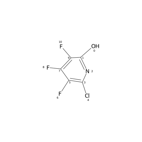 Oc1nc(Cl)c(F)c(F)c1F